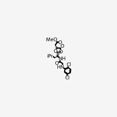 COC(=O)C[C@@H]1OB([C@H](CC(C)C)NC(=O)CNc2cc(Cl)ccc2Cl)OC1=O